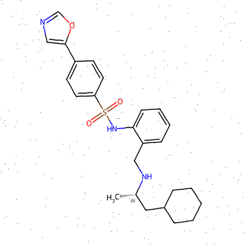 C[C@@H](CC1CCCCC1)NCc1ccccc1NS(=O)(=O)c1ccc(-c2cnco2)cc1